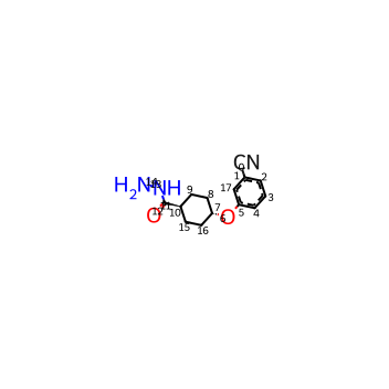 N#Cc1cccc(O[C@H]2CC[C@H](C(=O)NN)CC2)c1